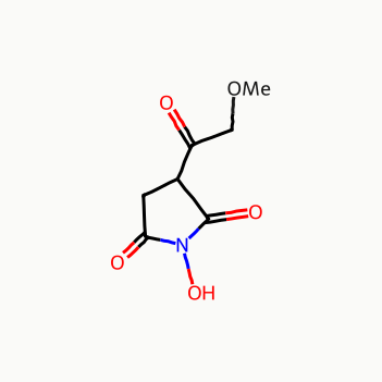 COCC(=O)C1CC(=O)N(O)C1=O